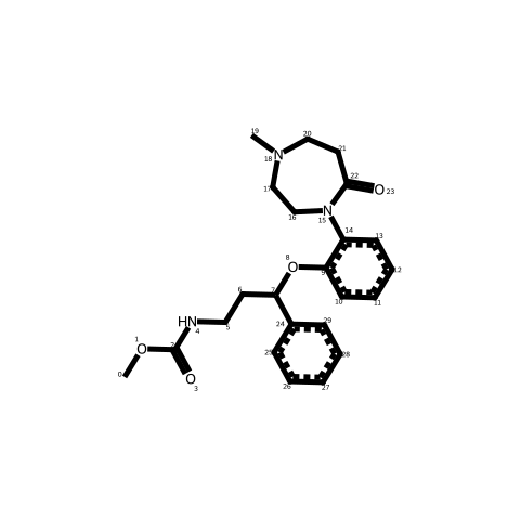 COC(=O)NCCC(Oc1ccccc1N1CCN(C)CCC1=O)c1ccccc1